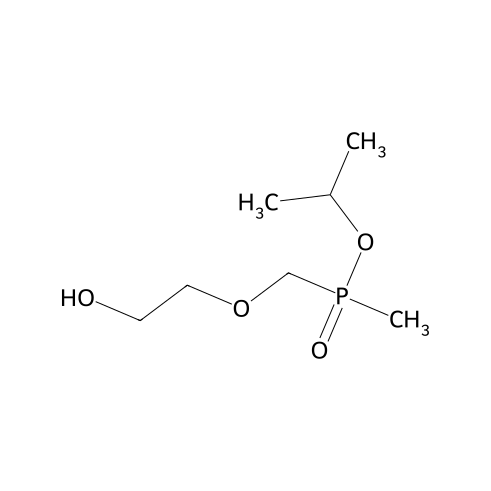 CC(C)OP(C)(=O)COCCO